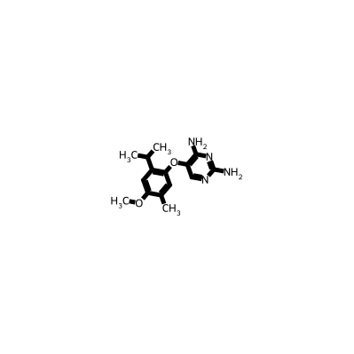 COc1cc(C(C)C)c(Oc2cnc(N)nc2N)cc1C